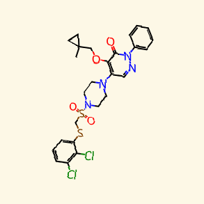 CC1(COc2c(N3CCN(S(=O)(=O)CSc4cccc(Cl)c4Cl)CC3)cnn(-c3ccccc3)c2=O)CC1